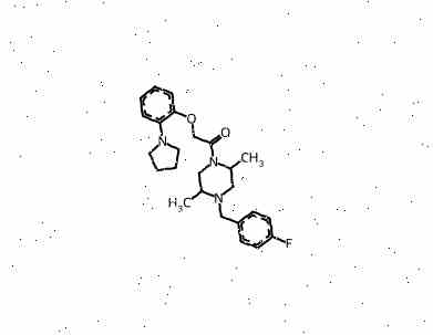 CC1CN(C(=O)COc2ccccc2N2CCCC2)C(C)CN1Cc1ccc(F)cc1